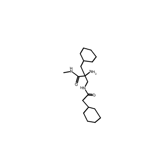 CNC(=O)C(N)(CNC(=O)CC1CCCCC1)CC1CCCCC1